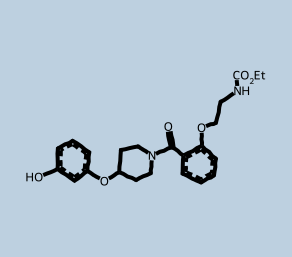 CCOC(=O)NCCOc1ccccc1C(=O)N1CCC(Oc2cccc(O)c2)CC1